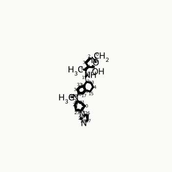 C=N/C=C\C(C(=O)O)=C(/C)NC[C@@H]1CCCc2cc(N(C)c3ccc(-n4ccnc4)cc3)ccc21